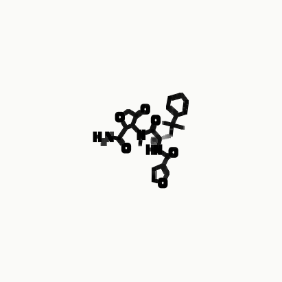 CN(C(=O)[C@H](CC(C)(C)c1ccccc1)NC(=O)c1ccoc1)C1C(=O)COC1C(N)=O